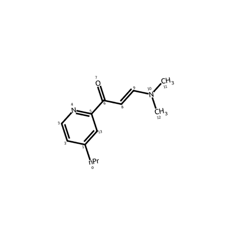 CCCc1ccnc(C(=O)C=CN(C)C)c1